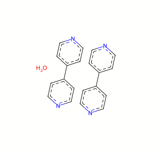 O.c1cc(-c2ccncc2)ccn1.c1cc(-c2ccncc2)ccn1